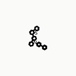 C1=CC2SC3C(C4=CC5=C(CC4)N(c4ccc(-c6ccccc6)cc4)C4CCC=CC54)CC=CC3C2CC1